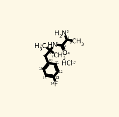 CC(N)C(=O)NC(C)(C)Cc1ccc(F)cc1.Cl